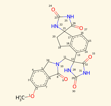 COc1ccc2c(c1)C(=O)N(CC1(c3cccc4c3CCC43NC(=O)NC3=O)NC(=O)NC1=O)C2